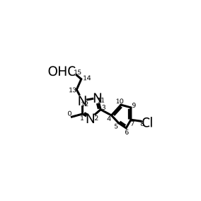 Cc1nc(-c2ccc(Cl)cc2)nn1CCC=O